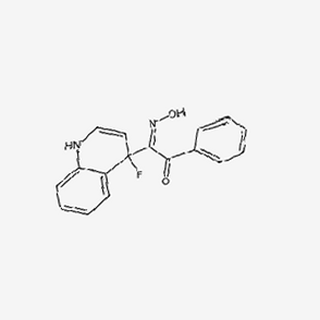 O=C(C(=NO)C1(F)C=CNc2ccccc21)c1ccccc1